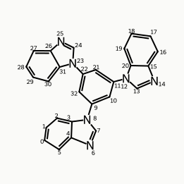 c1ccc2c(c1)ncn2-c1cc(-n2cnc3ccccc32)cc(-n2cnc3ccccc32)c1